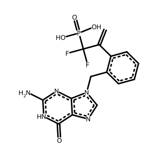 C=C(c1ccccc1Cn1cnc2c(=O)[nH]c(N)nc21)C(F)(F)P(=O)(O)O